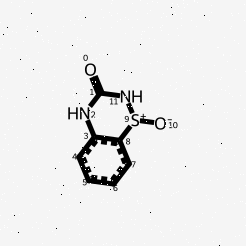 O=C1Nc2ccccc2[S+]([O-])N1